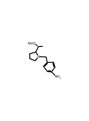 CO[C@@H](C)C1CCCN1Cc1ccc(N)cc1